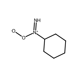 N=[N+](O[O])C1CCCCC1